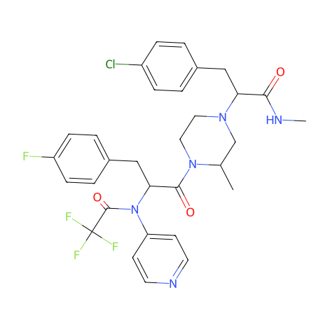 CNC(=O)C(Cc1ccc(Cl)cc1)N1CCN(C(=O)C(Cc2ccc(F)cc2)N(C(=O)C(F)(F)F)c2ccncc2)C(C)C1